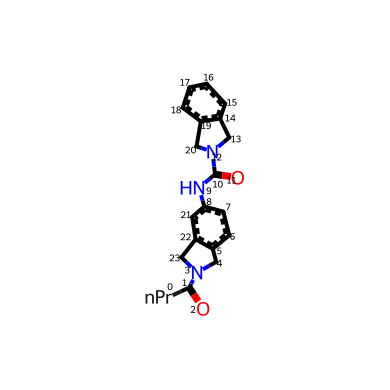 CCCC(=O)N1Cc2ccc(NC(=O)N3Cc4ccccc4C3)cc2C1